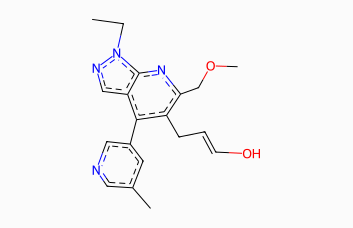 CCn1ncc2c(-c3cncc(C)c3)c(C/C=C/O)c(COC)nc21